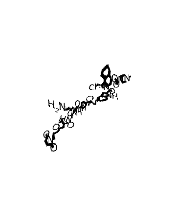 CC(C)C(CC(=O)CCCN1C(=O)C=CC1=O)C(=O)NCC(=O)N[C@@H](CCCCN)C(=O)Nc1ccc(C(=O)Nc2ccc3c(c2)CC(C(=O)N2C[C@@H](CCl)c4c2cc(OC(=O)N2CCN(C)CC2)c2ccccc42)N3)cc1